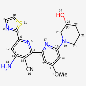 COc1cc(-c2nc(-c3nccs3)cc(N)c2C#N)nc(N2CCC[C@@H](O)C2)c1